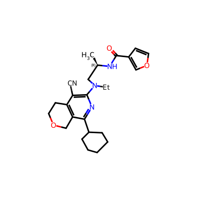 CCN(C[C@@H](C)NC(=O)c1ccoc1)c1nc(C2CCCCC2)c2c(c1C#N)CCOC2